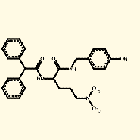 CN(C)CCCC(NC(=O)C(c1ccccc1)c1ccccc1)C(=O)NCc1ccc(O)cc1